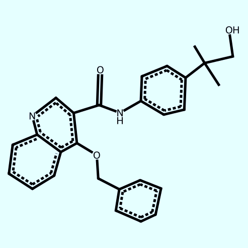 CC(C)(CO)c1ccc(NC(=O)c2cnc3ccccc3c2OCc2ccccc2)cc1